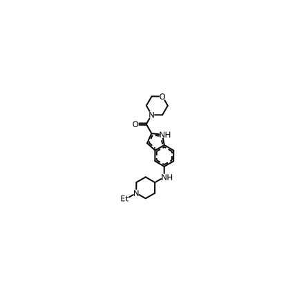 CCN1CCC(Nc2ccc3[nH]c(C(=O)N4CCOCC4)cc3c2)CC1